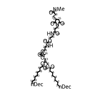 CCCCCCCCCCCCCCCCCC(=O)OC[C@H](COP(C)(=O)OCCNC(=O)OCCNC(=O)CCN1C(=O)CC(SCC(=O)NC)C1=O)OC(=O)CCCCCCCCCCCCCCCCC